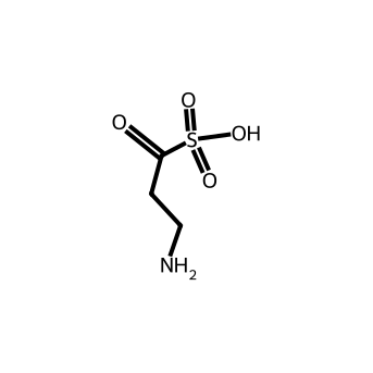 NCCC(=O)S(=O)(=O)O